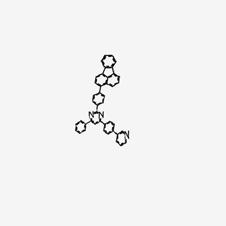 c1ccc(-c2cc(-c3ccc(-c4cccnc4)cc3)nc(-c3ccc(-c4ccc5c6c(cccc46)-c4ccccc4-5)cc3)n2)cc1